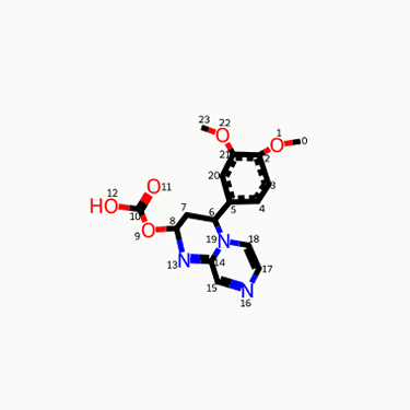 COc1ccc(C2CC(OC(=O)O)N=C3C=NC=CN32)cc1OC